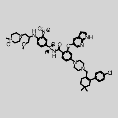 COCC(CN1CCP(C)(=O)CC1)Nc1ccc(S(=O)(=O)NC(=O)c2ccc(N3CCN(CC4=C(c5ccc(Cl)cc5)CC(C)(C)CC4)CC3)cc2Oc2cnc3[nH]ccc3c2)cc1[N+](=O)[O-]